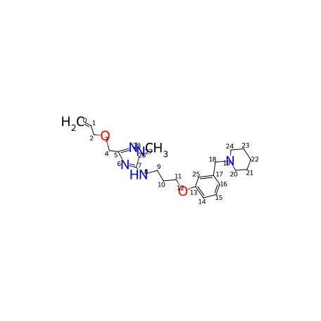 C=CCOCc1nc(NCCCOc2cccc(CN3CCCCC3)c2)n(C)n1